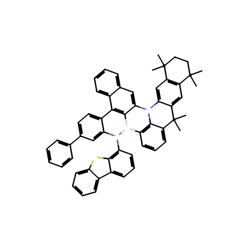 CC1(C)CCC(C)(C)c2cc3c(cc21)N1c2cc4ccccc4c4c2B(c2cccc(c21)C3(C)C)N(c1cccc2c1sc1ccccc12)c1cc(-c2ccccc2)ccc1-4